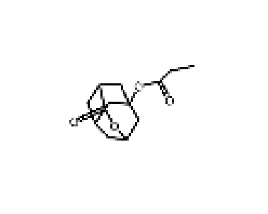 CCC(=O)OC12CC3CC(C1)OC(=O)C(C3)C2